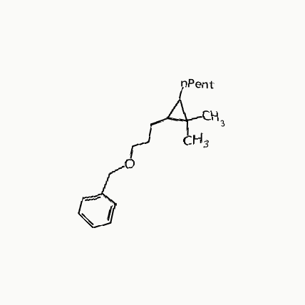 CCCCCC1C(CCCOCc2ccccc2)C1(C)C